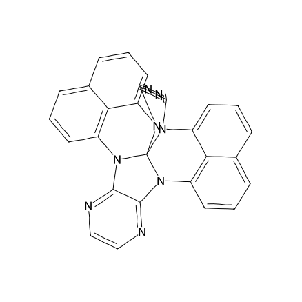 c1cc2c3c(cccc3c1)N1c3nccnc3N3c4cccc5cccc(c45)N4c5nccnc5N2C143